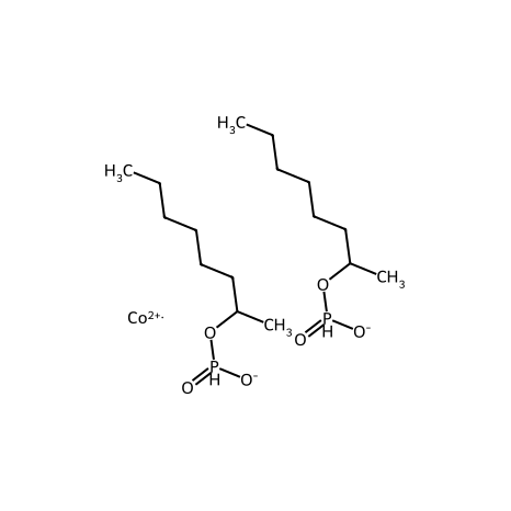 CCCCCCC(C)O[PH](=O)[O-].CCCCCCC(C)O[PH](=O)[O-].[Co+2]